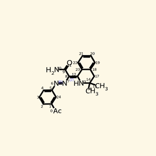 CC(=O)c1cccc(/N=N/C(C(N)=O)=C2\NC(C)(C)Cc3ccccc32)c1